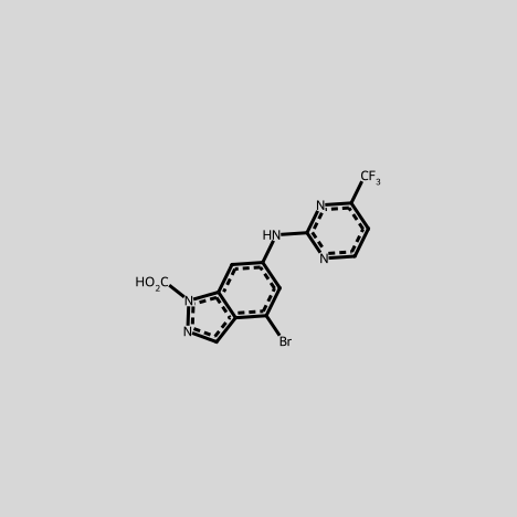 O=C(O)n1ncc2c(Br)cc(Nc3nccc(C(F)(F)F)n3)cc21